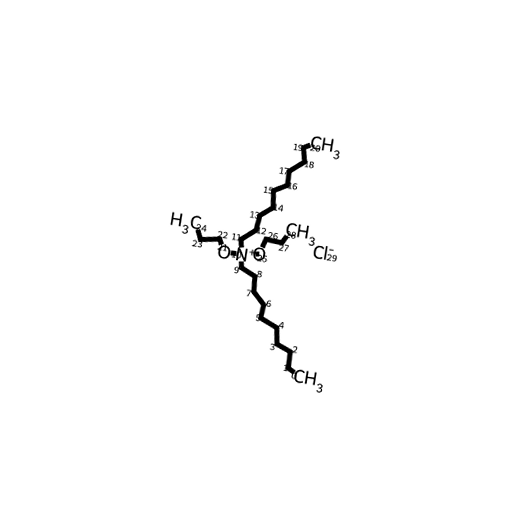 CCCCCCCCCC[N+](CCCCCCCCCC)(OCCC)OCCC.[Cl-]